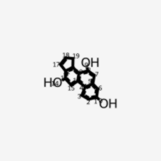 Oc1ccc2c(c1)cc(O)c1c3c(c(O)cc12)C=CC3